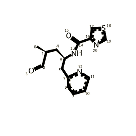 C[C@H](C=O)C[C@H](Cc1ccccn1)NC(=O)c1cscn1